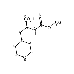 CC(C)(C)OC(=O)N[C@@H](CC1CCOCC1)C(=O)O